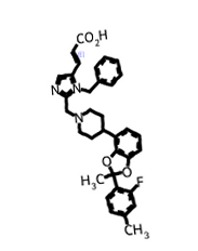 Cc1ccc(C2(C)Oc3cccc(C4CCN(Cc5ncc(/C=C/C(=O)O)n5Cc5ccccc5)CC4)c3O2)c(F)c1